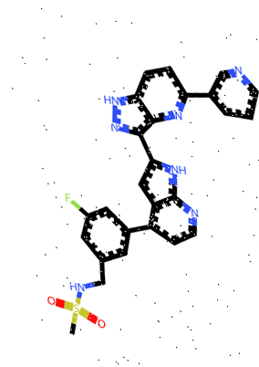 CS(=O)(=O)NCc1cc(F)cc(-c2ccnc3[nH]c(-c4n[nH]c5ccc(-c6cccnc6)nc45)cc23)c1